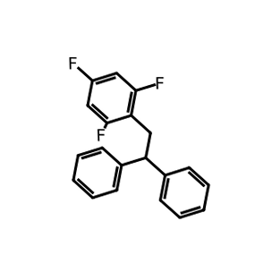 Fc1cc(F)c(CC(c2ccccc2)c2ccccc2)c(F)c1